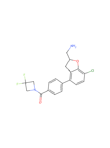 NCC1Cc2c(-c3ccc(C(=O)N4CC(F)(F)C4)cc3)ccc(Cl)c2O1